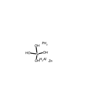 O[Si](O)(O)O.P.[AlH3].[Zn]